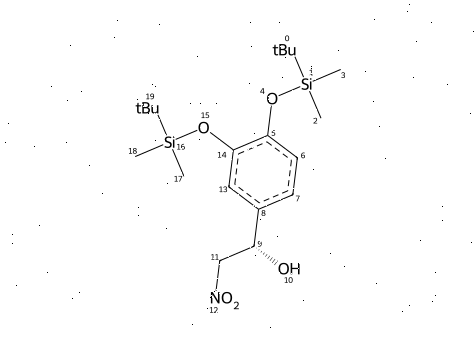 CC(C)(C)[Si](C)(C)Oc1ccc([C@H](O)C[N+](=O)[O-])cc1O[Si](C)(C)C(C)(C)C